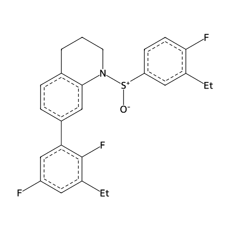 CCc1cc([S+]([O-])N2CCCc3ccc(-c4cc(F)cc(CC)c4F)cc32)ccc1F